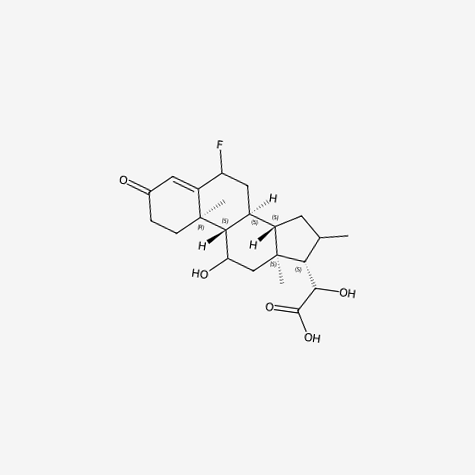 CC1C[C@H]2[C@@H]3CC(F)C4=CC(=O)CC[C@]4(C)[C@H]3C(O)C[C@]2(C)[C@H]1C(O)C(=O)O